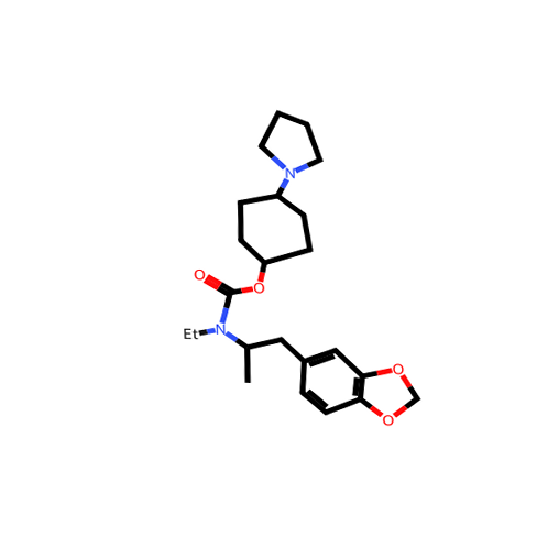 CCN(C(=O)OC1CCC(N2CCCC2)CC1)C(C)Cc1ccc2c(c1)OCO2